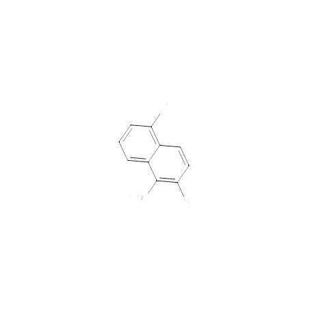 CC(=O)Nc1c([N+](=O)[O-])ccc2c(Br)cccc12